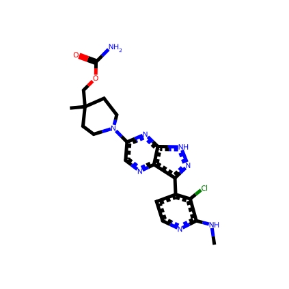 CNc1nccc(-c2n[nH]c3nc(N4CCC(C)(COC(N)=O)CC4)cnc23)c1Cl